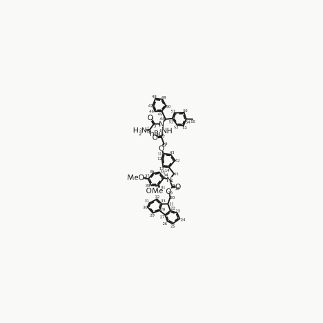 CCCC[C@H](N)C(=O)N(NC(=O)COc1ccc(CN(C(=O)OCC2c3ccccc3-c3ccccc32)c2ccc(OC)cc2OC)cc1)C(c1ccccc1)c1ccc(C)cc1